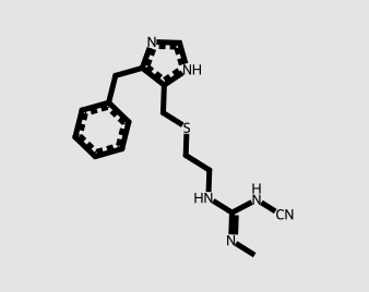 C/N=C(\NC#N)NCCSCc1[nH]cnc1Cc1ccccc1